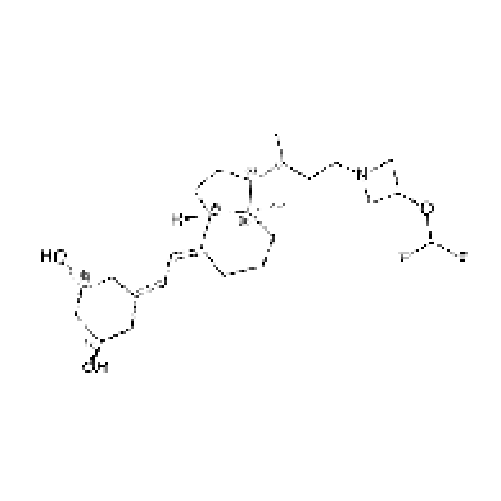 CC(CCN1CC(OC(F)F)C1)[C@H]1CC[C@H]2C(=CC=C3C[C@@H](O)C[C@H](O)C3)CCC[C@]12C